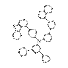 c1ccc(-c2cc(-c3ccccc3)cc(N(c3ccc(-c4cccc5sc6ccccc6c45)cc3)c3cccc(-c4cccc(-c5cccc6ccccc56)c4)c3)c2)cc1